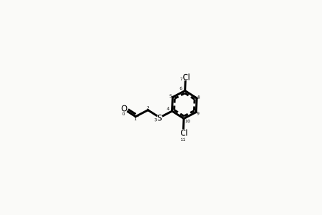 O=[C]CSc1cc(Cl)ccc1Cl